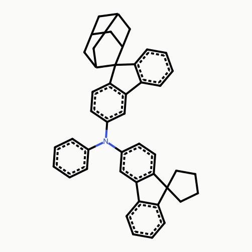 c1ccc(N(c2ccc3c(c2)-c2ccccc2C32CCCC2)c2ccc3c(c2)-c2ccccc2C32C3CC4CC(C3)CC2C4)cc1